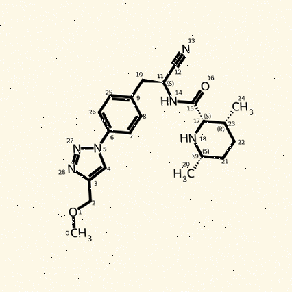 COCc1cn(-c2ccc(C[C@@H](C#N)NC(=O)[C@H]3N[C@@H](C)CC[C@H]3C)cc2)nn1